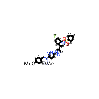 COc1ccc(CNc2ccc(-n3cc(-c4cn(S(=O)(=O)c5ccccc5)c5cc(F)ccc45)cn3)nn2)c(OC)c1